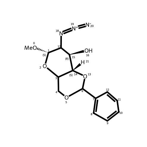 CO[C@H]1OC2COC(c3ccccc3)O[C@H]2[C@H](O)C1N=[N+]=[N-]